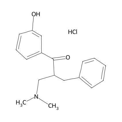 CN(C)CC(Cc1ccccc1)C(=O)c1cccc(O)c1.Cl